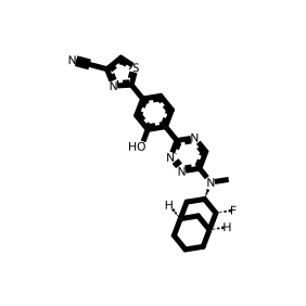 CN(c1cnc(-c2ccc(-c3nc(C#N)cs3)cc2O)nn1)[C@H]1C[C@@H]2CCC[C@@H](C2)[C@H]1F